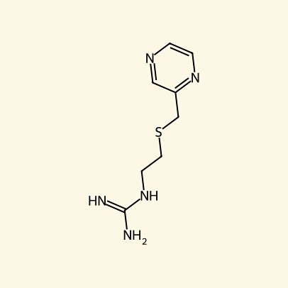 N=C(N)NCCSCc1cnccn1